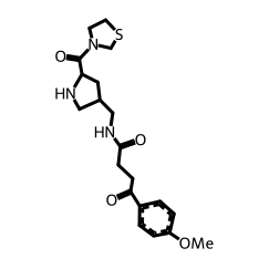 COc1ccc(C(=O)CCC(=O)NCC2CNC(C(=O)N3CCSC3)C2)cc1